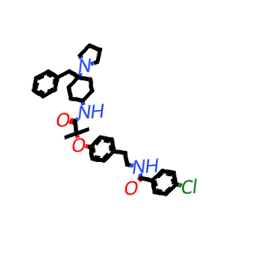 CC(C)(Oc1ccc(CCNC(=O)c2ccc(Cl)cc2)cc1)C(=O)NC1CCC(Cc2ccccc2)(N2CCCC2)CC1